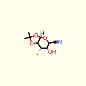 C[C@@H]1C2OC(C)(C)O[C@@H]2OC(C#N)[C@H]1O